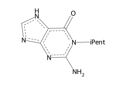 CCCC(C)n1c(N)nc2nc[nH]c2c1=O